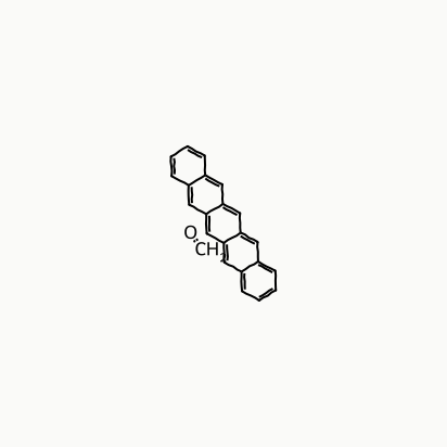 C=O.c1ccc2cc3cc4cc5ccccc5cc4cc3cc2c1